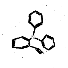 [C]#Cc1ccccc1N(c1ccccc1)c1ccccc1